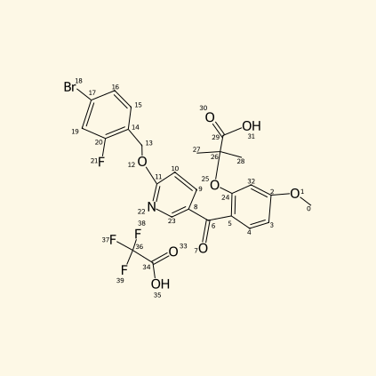 COc1ccc(C(=O)c2ccc(OCc3ccc(Br)cc3F)nc2)c(OC(C)(C)C(=O)O)c1.O=C(O)C(F)(F)F